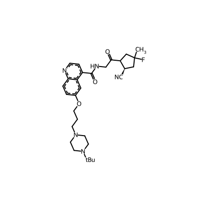 CC1(F)CC(C(=O)CNC(=O)c2ccnc3ccc(OCCCN4CCN(C(C)(C)C)CC4)cc23)[C@H](C#N)C1